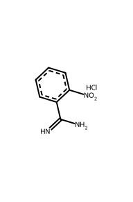 Cl.N=C(N)c1ccccc1[N+](=O)[O-]